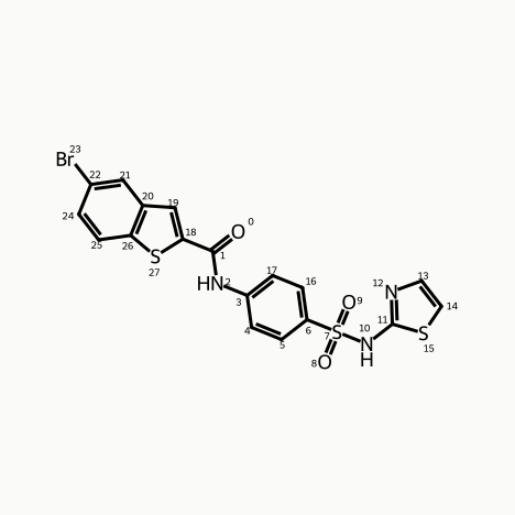 O=C(Nc1ccc(S(=O)(=O)Nc2nccs2)cc1)c1cc2cc(Br)ccc2s1